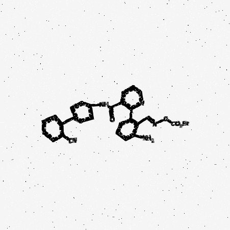 CCOC(=O)ON=Cc1c(N)cccc1-c1ncccc1C(=O)Nc1ccc(-c2ccccc2C#N)cc1